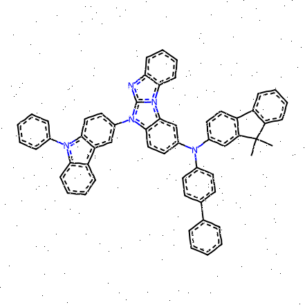 CC1(C)c2ccccc2-c2ccc(N(c3ccc(-c4ccccc4)cc3)c3ccc4c(c3)n3c5ccccc5nc3n4-c3ccc4c(c3)c3ccccc3n4-c3ccccc3)cc21